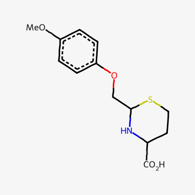 COc1ccc(OCC2NC(C(=O)O)CCS2)cc1